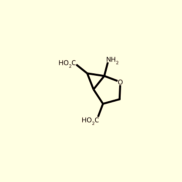 NC12OCC(C(=O)O)C1C2C(=O)O